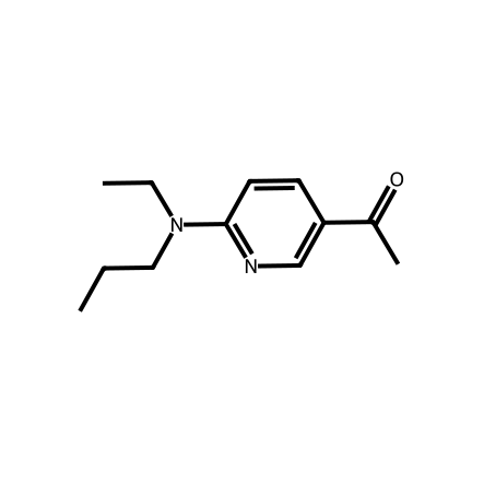 CCCN(CC)c1ccc(C(C)=O)cn1